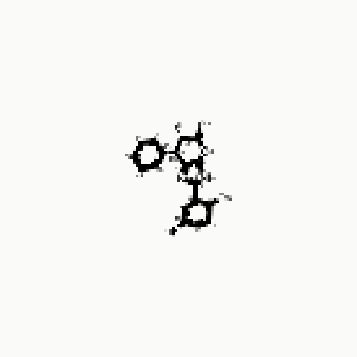 C[C@@H]1C(=O)Oc2[nH]c(-c3cc(F)ccc3F)nc2[C@@H]1c1ccccc1